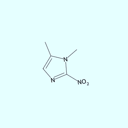 Cc1cnc([N+](=O)[O-])n1C